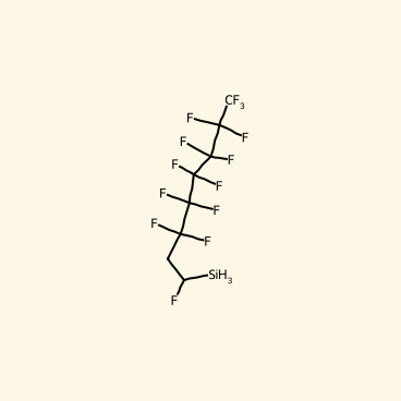 FC([SiH3])CC(F)(F)C(F)(F)C(F)(F)C(F)(F)C(F)(F)C(F)(F)F